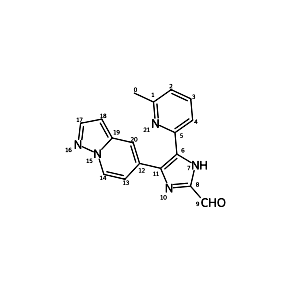 Cc1cccc(-c2[nH]c(C=O)nc2-c2ccn3nccc3c2)n1